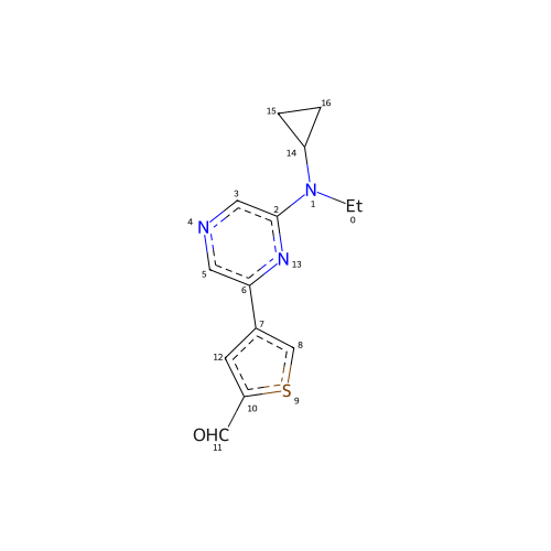 CCN(c1cncc(-c2csc(C=O)c2)n1)C1CC1